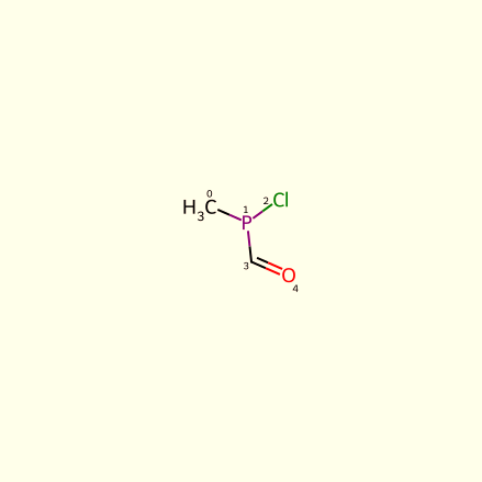 CP(Cl)C=O